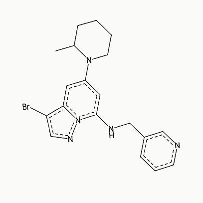 CC1CCCCN1c1cc(NCc2cccnc2)n2ncc(Br)c2c1